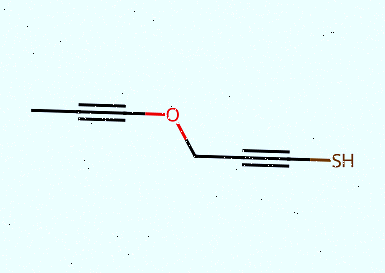 CC#COCC#CS